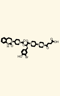 O=C(O)CCC(=O)N1CCN(C2CCN(C(=O)[C@@H](Cc3ccc(O)c(Br)c3)OC(=O)N3CCC(N4CCc5ccccc5NC4=O)CC3)CC2)CC1